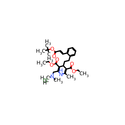 CCOC(=O)C1=C(C)NC(CN(C)C)=C(C(=O)OCC)C1CCc1ccccc1/C=C/C(=O)OC(C)(C)C.[Cl-].[H+]